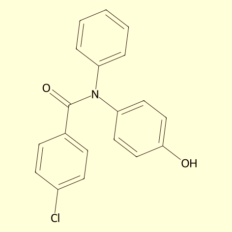 O=C(c1ccc(Cl)cc1)N(c1ccccc1)c1ccc(O)cc1